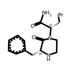 CC(C)C[C@@H](C(N)=O)N1CCN[C@H](Cc2ccccc2)C1=O